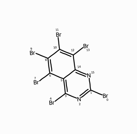 Brc1nc(Br)c2c(Br)c(Br)c(Br)c(Br)c2n1